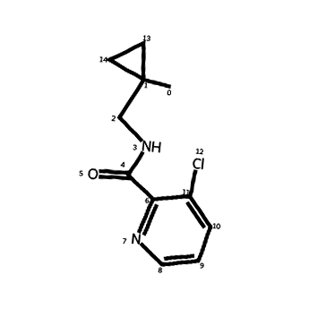 CC1(CNC(=O)c2ncccc2Cl)CC1